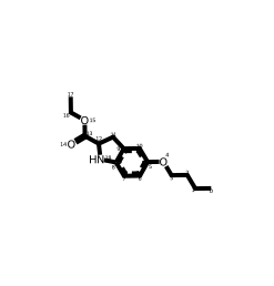 CCCCOc1ccc2c(c1)CC(C(=O)OCC)N2